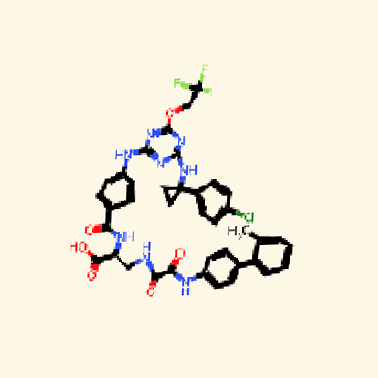 Cc1ccccc1-c1ccc(NC(=O)C(=O)NC[C@H](NC(=O)c2ccc(Nc3nc(NC4(c5ccc(Cl)cc5)CC4)nc(OCC(F)(F)F)n3)cc2)C(=O)O)cc1